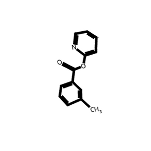 Cc1cccc(C(=O)Oc2c[c]ccn2)c1